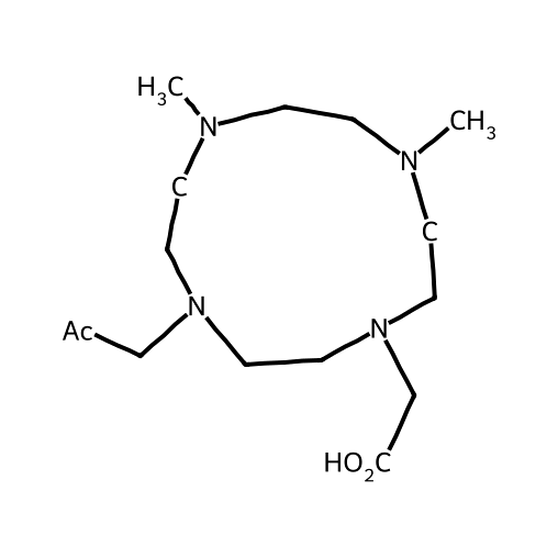 CC(=O)CN1CCN(C)CCN(C)CCN(CC(=O)O)CC1